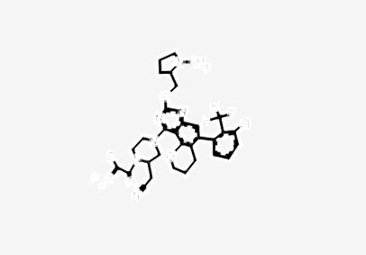 C=C(F)C(=O)N1CCN(c2nc(OCC3CCCN3C)nc3cc(-c4cccc(Cl)c4C(F)(F)F)c4c(c23)OCCC4)CC1CC#N